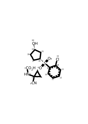 N#CC1(NC(=O)O)CC1.O=S(=O)(c1ccccc1Cl)[C@@H]1CC[C@H](O)C1